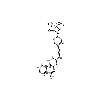 CC1(C)CN(c2ccc(C#CC=C3CCN(c4ncccc4[N+](=O)[O-])CC3)cc2)C1=O